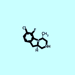 C[C@@H]1CNC[C@H]2Cc3ccc(Cl)c(F)c3N21